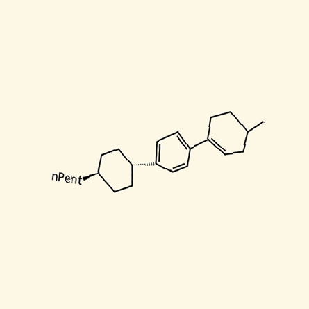 CCCCC[C@H]1CC[C@H](c2ccc(C3=CCC(C)CC3)cc2)CC1